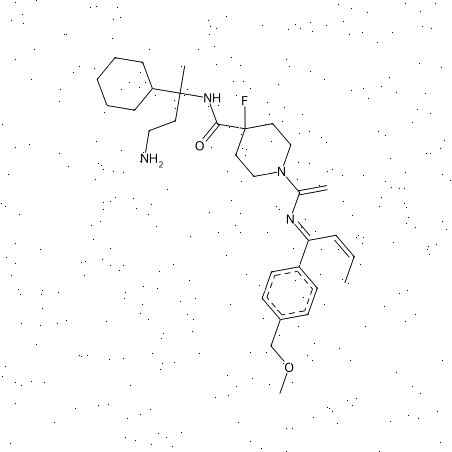 C=C(/N=C(\C=C/C)c1ccc(COC)cc1)N1CCC(F)(C(=O)NC(C)(CCN)C2CCCCC2)CC1